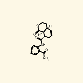 NC(=O)c1ccccc1NC(=O)[C@@H]1CC=C[C@@H]2CCOC(=O)[C@@H]21